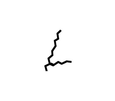 [CH2]CC(=CCCCC)CCCCCCCC